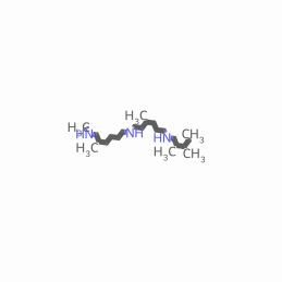 CCC(C)C(C)CNCCCC(C)CCNCCCCC(C)CNC